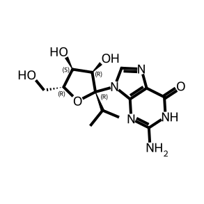 CC(C)[C@@]1(n2cnc3c(=O)[nH]c(N)nc32)O[C@H](CO)[C@@H](O)[C@H]1O